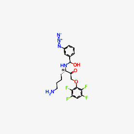 [N-]=[N+]=Nc1cccc(C(O)N[C@@H](CCCCN)C(=O)COc2c(F)c(F)cc(F)c2F)c1